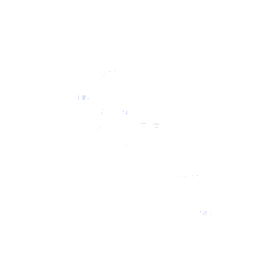 O=c1ccn(-c2ccc(C3CCNCC3)cc2)c(=O)[nH]1